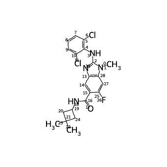 Cn1c(Nc2c(Cl)cccc2Cl)nc2cc(C(=O)NC3CC(C)(C)C3)c(F)cc21